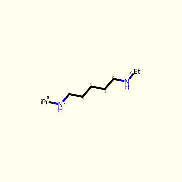 CCNCCCCCNC(C)C